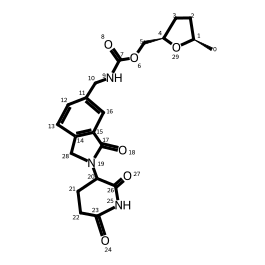 C[C@@H]1CC[C@H](COC(=O)NCc2ccc3c(c2)C(=O)N(C2CCC(=O)NC2=O)C3)O1